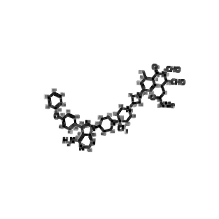 CNC(=O)CCC(C=O)N(C=O)C(=O)c1ccc(N2CC(N3CCC(N4CCC(n5nc(-c6ccc(Oc7ccccc7)cc6)c6c(N)ncnc65)CC4)(C(F)(F)F)CC3)C2)cc1C